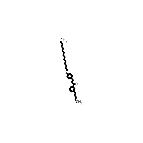 CCCCCCCCCCCCCCCSc1ccc(C=CC(=O)c2cccc(CCCCC)c2)cc1